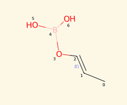 C/C=C/OB(O)O